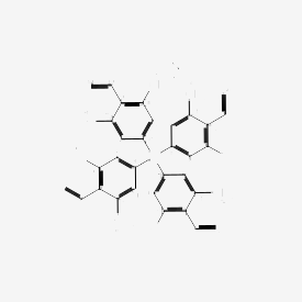 C=Cc1c(C(F)(F)F)cc([B-](c2cc(C(F)(F)F)c(C=C)c(C(F)(F)F)c2)(c2cc(C(F)(F)F)c(C=C)c(C(F)(F)F)c2)c2cc(C(F)(F)F)c(C=C)c(C(F)(F)F)c2)cc1C(F)(F)F.[Na+]